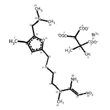 CC(O)(C(=O)[O-])C(C(=O)[O-])C(=O)[O-].Cc1cc(CSCCN(C)C(N)=C[N+](=O)[O-])oc1CN(C)C.[Bi+3]